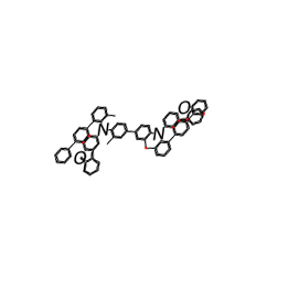 Cc1cc(-c2ccc(N(c3ccc4oc5ccccc5c4c3)c3c(C)cccc3-c3ccc(-c4ccccc4)cc3)c(C)c2)ccc1N(c1ccc2oc3ccccc3c2c1)c1c(C)cccc1-c1ccc(-c2ccccc2)cc1